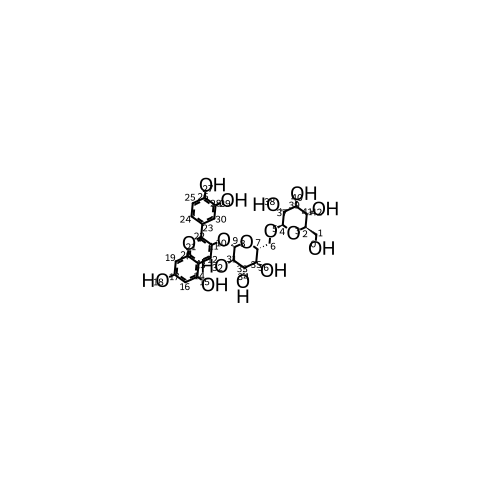 OC[C@H]1O[C@@H](OC[C@H]2O[C@@H](Oc3cc4c(O)cc(O)cc4[o+]c3-c3ccc(O)c(O)c3)[C@H](O)[C@@H](O)[C@H]2O)[C@H](O)[C@@H](O)[C@@H]1O